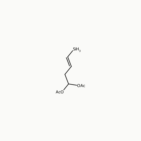 CC(=O)OC(CC=C[SiH3])OC(C)=O